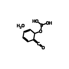 O.O=C=C1C=CC=CC1OB(O)O